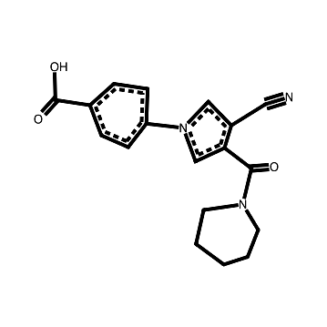 N#Cc1cn(-c2ccc(C(=O)O)cc2)cc1C(=O)N1CCCCC1